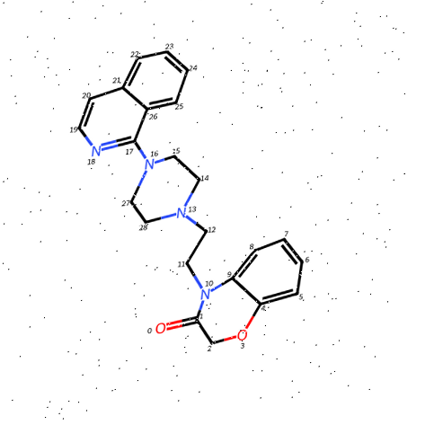 O=C1COc2ccccc2N1CCN1CCN(c2nccc3ccccc23)CC1